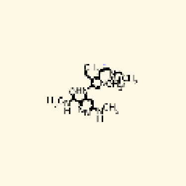 C=Cc1c(Nc2cc(NC)nnc2C(=O)NC)cn(C)c1/C=C\N(C)CC